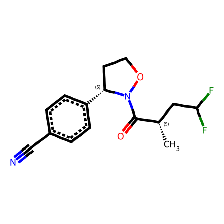 C[C@@H](CC(F)F)C(=O)N1OCC[C@H]1c1ccc(C#N)cc1